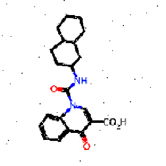 O=C(O)c1cn(C(=O)NC2CCC3CCCCC3C2)c2ccccc2c1=O